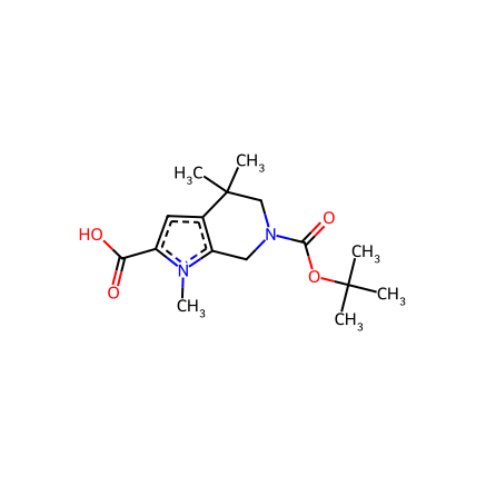 Cn1c(C(=O)O)cc2c1CN(C(=O)OC(C)(C)C)CC2(C)C